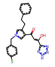 O=C(C=C(O)c1nn[nH]n1)c1cn(Cc2ccc(F)cc2)cc1CCc1ccccc1